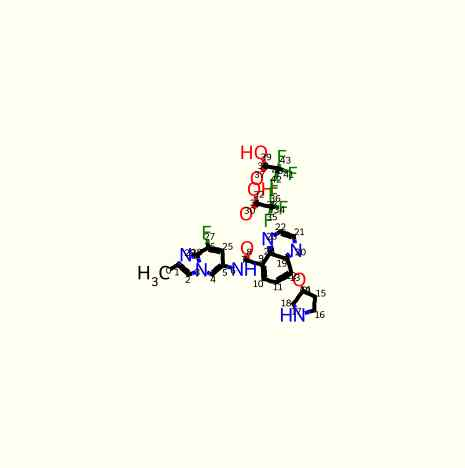 Cc1cn2cc(NC(=O)c3ccc(O[C@@H]4CCNC4)c4nccnc34)cc(F)c2n1.O=C(O)C(F)(F)F.O=C(O)C(F)(F)F